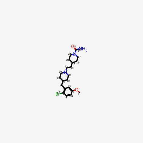 COc1ccc(Br)c(CC2CCN(CCC3CCN(C(N)=O)CC3)CC2)c1